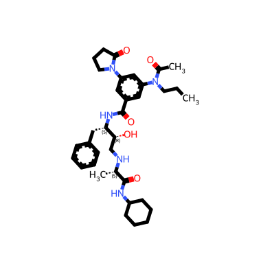 CCCN(C(C)=O)c1cc(C(=O)N[C@@H](Cc2ccccc2)[C@H](O)CN[C@@H](C)C(=O)NC2CCCCC2)cc(N2CCCC2=O)c1